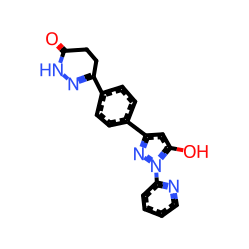 O=C1CCC(c2ccc(-c3cc(O)n(-c4ccccn4)n3)cc2)=NN1